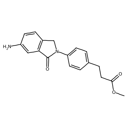 COC(=O)CCc1ccc(N2Cc3ccc(N)cc3C2=O)cc1